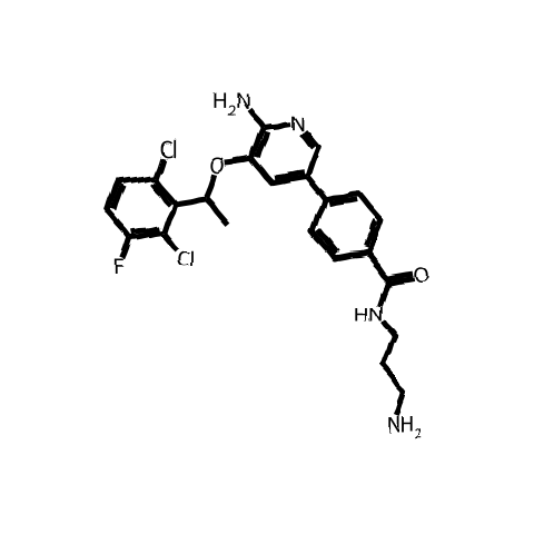 CC(Oc1cc(-c2ccc(C(=O)NCCCN)cc2)cnc1N)c1c(Cl)ccc(F)c1Cl